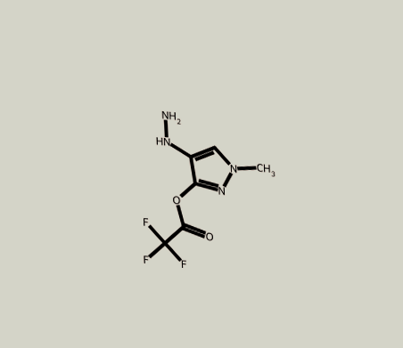 Cn1cc(NN)c(OC(=O)C(F)(F)F)n1